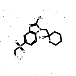 CC(C)(C)c1nc2cc(S(=O)(=O)CC(=O)O)ccc2n1CC1(O)CCCCC1